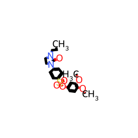 CCCN1CCN(c2ccc(S(=O)(=O)Oc3ccc(OC)c(OC)c3)cc2)C1=O